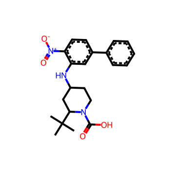 CC(C)(C)C1CC(Nc2cc(-c3ccccc3)ccc2[N+](=O)[O-])CCN1C(=O)O